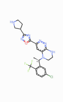 C[C@H](c1cc(Cl)ccc1C(F)(F)F)N1CCNc2nnc(-c3nc(C4CCNC4)no3)cc21